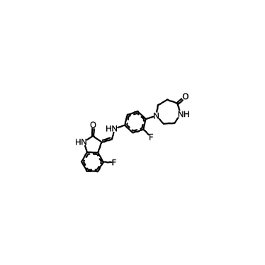 O=C1CCN(c2ccc(NC=C3C(=O)Nc4cccc(F)c43)cc2F)CCN1